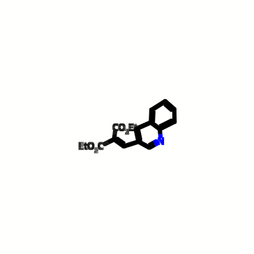 CCOC(=O)C(=Cc1cnc2ccccc2c1)C(=O)OCC